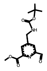 COC(=O)c1cc(CNC(=O)OC(C)(C)C)cc(C=O)n1